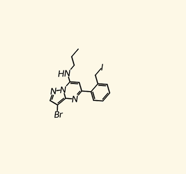 CCCNc1cc(-c2ccccc2CI)nc2c(Br)cnn12